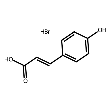 Br.O=C(O)C=Cc1ccc(O)cc1